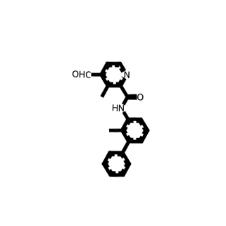 Cc1c(NC(=O)c2nccc(C=O)c2C)cccc1-c1ccccc1